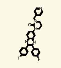 O=C1N(Cc2ccncc2)CCCN1c1ccc2nc(-c3ccc(F)cc3)c(-c3ccc(F)cc3)nc2c1